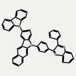 c1ccc(-c2nc3ccccc3nc2-c2ccc(-n3c4ccc(-n5c6ccccc6c6ccccc65)cc4c4cc5ccccc5cc43)cc2)cc1